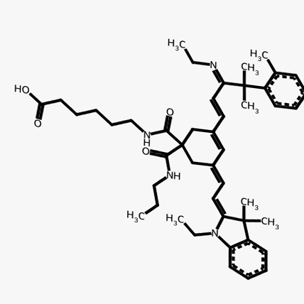 CCCNC(=O)C1(C(=O)NCCCCCC(=O)O)CC(/C=C/C(=N\CC)C(C)(C)c2ccccc2C)=CC(=C/C=C2/N(CC)c3ccccc3C2(C)C)/C1